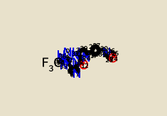 Nc1cc(-c2ccncc2NC(=O)c2nc(-c3ccc(CN4CCOCC4)cc3)ccc2N)nc(C(F)(F)F)n1